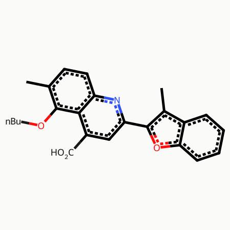 CCCCOc1c(C)ccc2nc(-c3oc4ccccc4c3C)cc(C(=O)O)c12